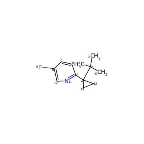 CC(C)(C)C1(c2ccc(F)cn2)CC1